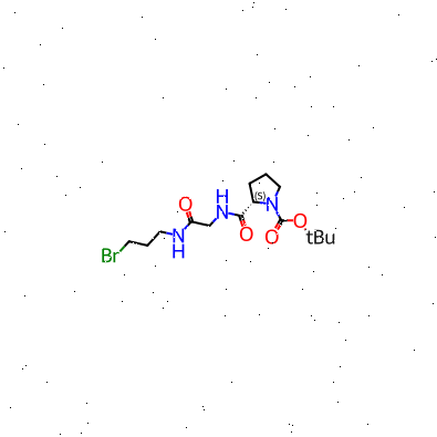 CC(C)(C)OC(=O)N1CCC[C@H]1C(=O)NCC(=O)NCCCBr